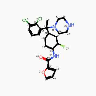 CC(c1cccc(Cl)c1Cl)(C1CCC(NC(=O)c2ccco2)C(F)C1)N1CCNCC1